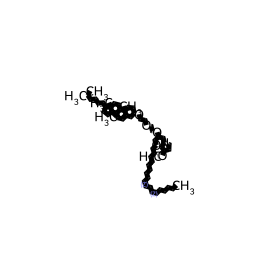 CCCCC/C=C\C/C=C\CCCCCCCCOCC(CN1CCC(OC)C1)OCCOCCOC1CCC2(C)C(=CCC3(C)C2CCC2(C)C(CCCCC(C)C)CCC23)C1